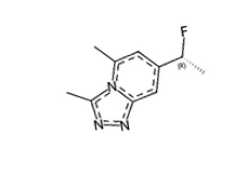 Cc1cc([C@@H](C)F)cc2nnc(C)n12